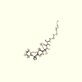 CCCCCCCCCCCCC(C)(C)c1ccc(C(=O)c2ccccc2)cc1